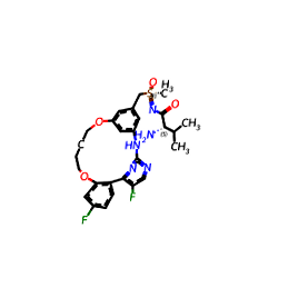 CC(C)[C@H](N)C(=O)N=[S@](C)(=O)Cc1cc2cc(c1)OCCCCOc1cc(F)ccc1-c1nc(ncc1F)N2